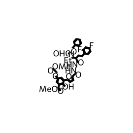 CCC(C(CCc1ccc(F)cc1F)C(=O)NCNC(=O)c1ccc(-c2cc(OCC(=O)OC)cc(C(=O)OC)c2O)o1)N(C=O)OCc1ccccc1